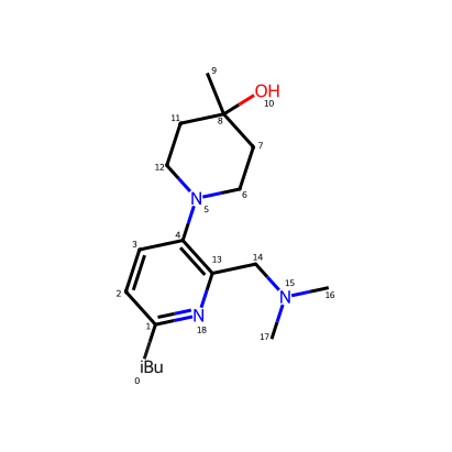 CCC(C)c1ccc(N2CCC(C)(O)CC2)c(CN(C)C)n1